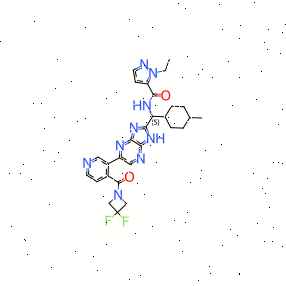 CCn1nccc1C(=O)N[C@H](c1nc2nc(-c3cnccc3C(=O)N3CC(F)(F)C3)cnc2[nH]1)C1CCC(C)CC1